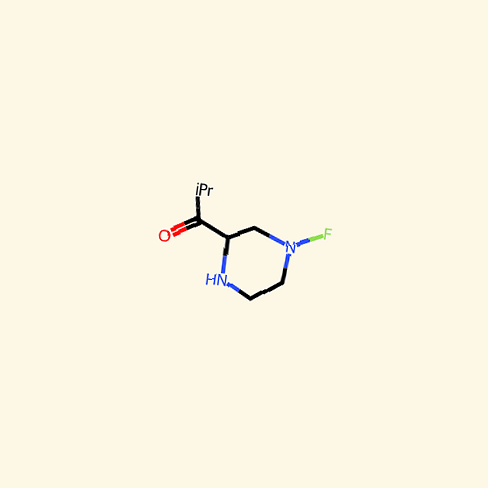 CC(C)C(=O)C1CN(F)CCN1